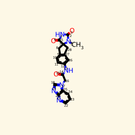 CN1C(=O)NC(=O)C12Cc1ccc(NC(=O)Cn3cnc4ncccc43)cc1C2